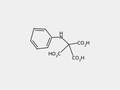 O=C(O)C(Nc1ccccc1)(C(=O)O)C(=O)O